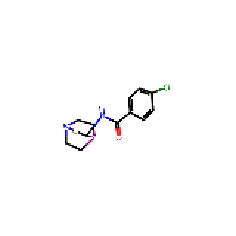 O=C(NC1CN2CCP1CC2)c1ccc(Cl)cc1